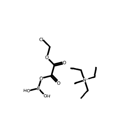 CC[N+](C)(CC)CC.O=C(OCCl)C(=O)OB(O)O